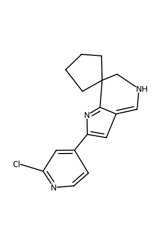 Clc1cc(C2=CC3=CNCC4(CCCC4)C3=N2)ccn1